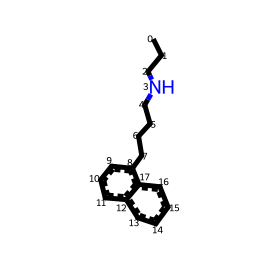 CCCNCCCCc1cccc2ccccc12